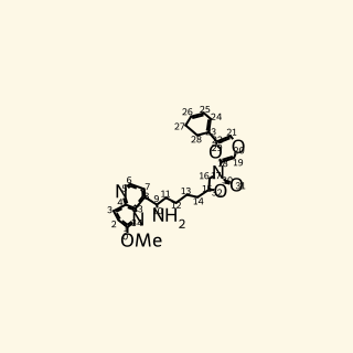 COc1ccc2nccc(C(N)CCCCC3CN(C4=COC=C(C5=CC=CCC5)O4)C(=O)O3)c2n1